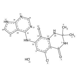 CC1(C)NC(=O)c2c(Cl)cc(Nc3ncnc4[nH]ccc34)c(=O)n2N1.Cl